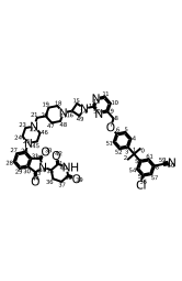 CC(C)(c1ccc(OCc2ccnc(N3CC(N4CCC(CN5CCN(c6cccc7c6C(=O)N(C6CCC(=O)NC6=O)C7=O)CC5)CC4)C3)n2)cc1)c1cc(Cl)cc(C#N)c1